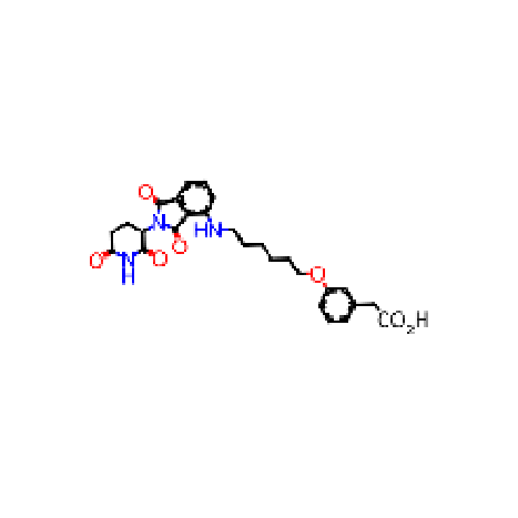 O=C(O)Cc1cccc(OCCCCCCNc2cccc3c2C(=O)N(C2CCC(=O)NC2=O)C3=O)c1